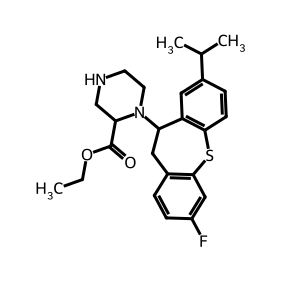 CCOC(=O)C1CNCCN1C1Cc2ccc(F)cc2Sc2ccc(C(C)C)cc21